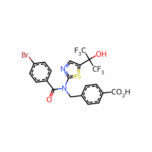 O=C(O)c1ccc(CN(C(=O)c2ccc(Br)cc2)c2ncc(C(O)(C(F)(F)F)C(F)(F)F)s2)cc1